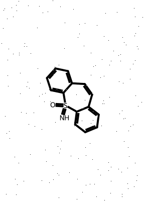 N=S1(=O)c2ccccc2C=Cc2ccccc21